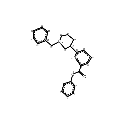 O=C(Oc1ccccc1)c1cccc(C2CCCN(Cc3ccccc3)C2)n1